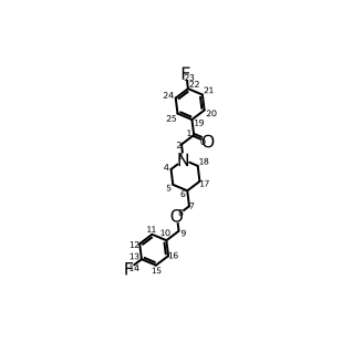 O=C(CN1CCC(COCc2ccc(F)cc2)CC1)c1ccc(F)cc1